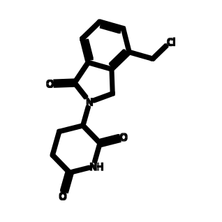 O=C1CCC(N2Cc3c(CCl)cccc3C2=O)C(=O)N1